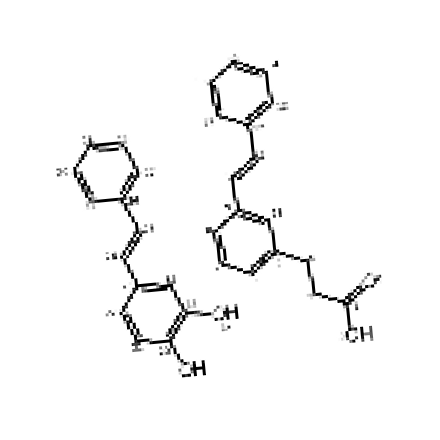 O=C(O)CCc1cccc(C=Cc2ccccc2)c1.Oc1ccc(C=Cc2ccccc2)cc1O